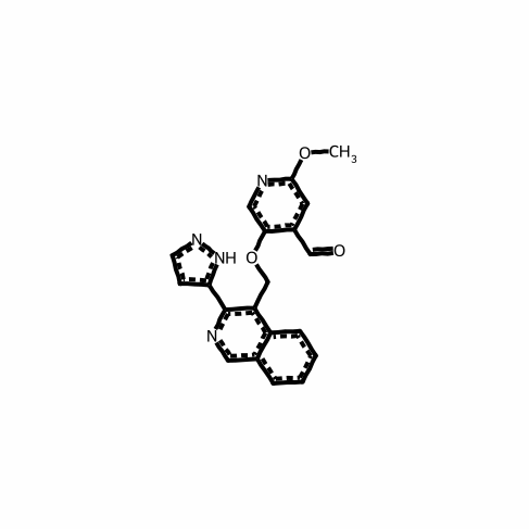 COc1cc(C=O)c(OCc2c(-c3ccn[nH]3)ncc3ccccc23)cn1